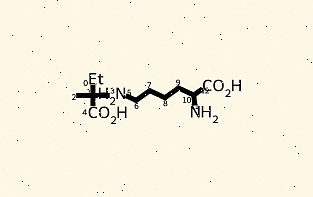 CCC(C)(C)C(=O)O.NCCCCC(N)C(=O)O